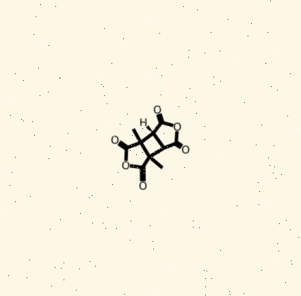 CC12C(=O)OC(=O)C1(C)[C@@H]1C(=O)OC(=O)C12